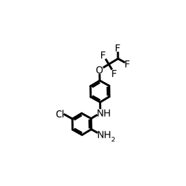 Nc1ccc(Cl)cc1Nc1ccc(OC(F)(F)C(F)F)cc1